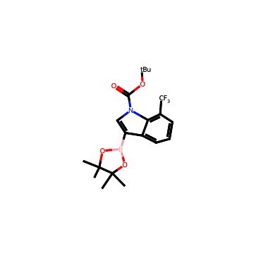 CC(C)(C)OC(=O)n1cc(B2OC(C)(C)C(C)(C)O2)c2cccc(C(F)(F)F)c21